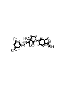 O=C(NCc1cc(F)cc(Cl)c1)[C@]1(O)CCN(c2ccc3c(c2)COB3O)C1=O